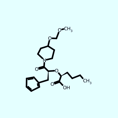 CCCC[C@H](O[C@@H](Cc1ccccc1)C(=O)N1CCC(OCOC)CC1)C(=O)O